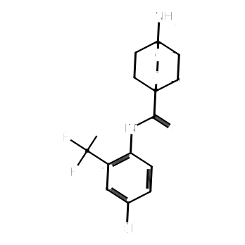 NC12CCC(C(=O)Nc3ccc(Cl)cc3C(F)(F)F)(CC1)CC2